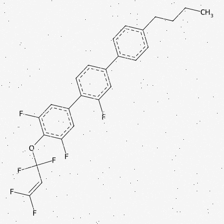 CCCCc1ccc(-c2ccc(-c3cc(F)c(OC(F)(F)C=C(F)F)c(F)c3)c(F)c2)cc1